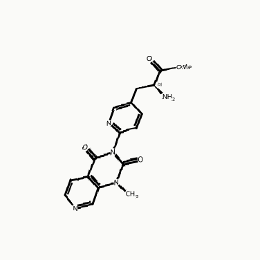 COC(=O)[C@@H](N)Cc1ccc(-n2c(=O)c3ccncc3n(C)c2=O)nc1